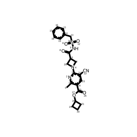 Cc1nc(N2CC(C(=O)NS(=O)(=O)Cc3ccccc3)C2)c(C#N)cc1C(=O)OC1CCC1